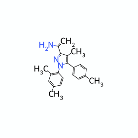 C=C(N)c1nn(-c2ccc(C)cc2C)c(-c2ccc(C)cc2)c1C